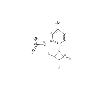 CC1C(C)C(c2ccc(Br)cc2)C1C.O=C(O)Cl